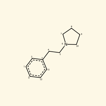 [c]1ccc(CCN2CCCC2)cc1